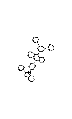 c1ccc(-c2cc(-c3ccccc3)cc(-c3c4ccccc4c(-c4ccc(-n5c(-c6ccccc6)nc6ccccc65)cc4)c4ccccc34)c2)cc1